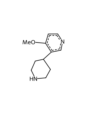 COc1ccncc1C1CCNCC1